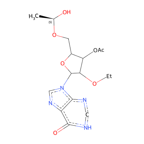 CCOC1C(OC(C)=O)C(CO[C@@H](C)O)OC1n1cnc2c(=O)[nH]cnc21